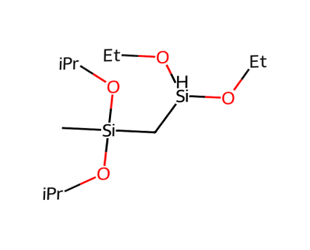 CCO[SiH](C[Si](C)(OC(C)C)OC(C)C)OCC